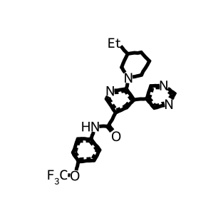 CCC1CCCN(c2ncc(C(=O)Nc3ccc(OC(F)(F)F)cc3)cc2-c2cncnc2)C1